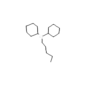 CCCC[CH2][Al]([CH]1CCCCC1)[CH]1CCCCC1